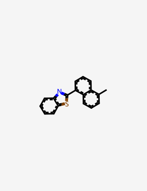 Cc1cccc2c(-c3nc4ccccc4s3)cccc12